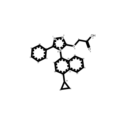 O=C(O)CSc1nnc(-c2ccccc2)n1-c1ccc(C2CC2)c2ccccc12